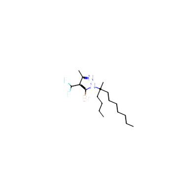 CCCCCCCC(C)(CCCC)n1nc(C)c(C(F)F)c1Br